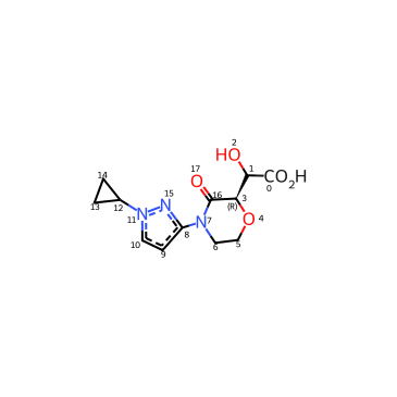 O=C(O)C(O)[C@H]1OCCN(c2ccn(C3CC3)n2)C1=O